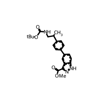 COC(=O)c1n[nH]c2ccc(-c3ccc(C(C)CNC(=O)OC(C)(C)C)cc3)cc12